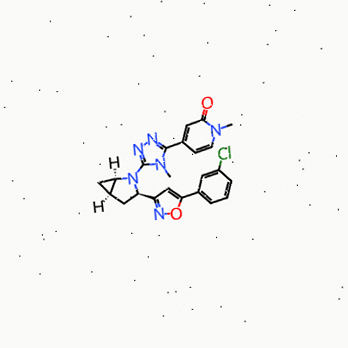 Cn1c(-c2ccn(C)c(=O)c2)nnc1N1[C@@H](c2cc(-c3cccc(Cl)c3)on2)C[C@H]2C[C@H]21